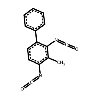 Cc1c(N=C=O)ccc(-c2ccccc2)c1N=C=O